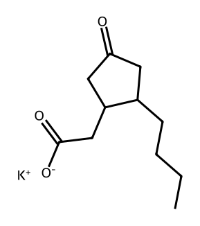 CCCCC1CC(=O)CC1CC(=O)[O-].[K+]